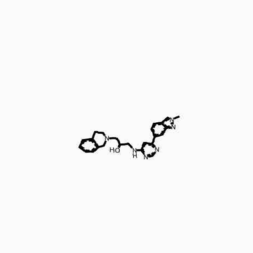 Cn1cc2ccc(-c3cc(NCC(O)CN4CCc5ccccc5C4)ncn3)cc2n1